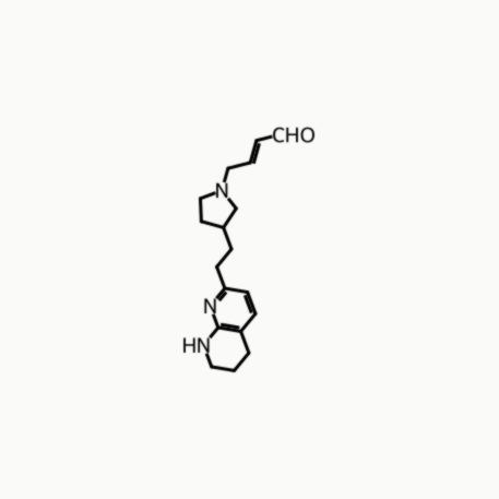 O=C/C=C/CN1CCC(CCc2ccc3c(n2)NCCC3)C1